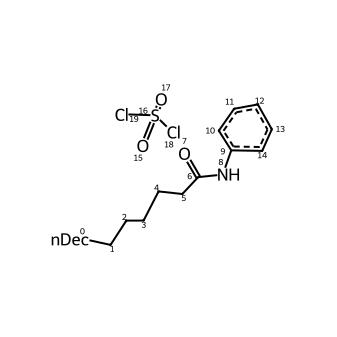 CCCCCCCCCCCCCCCC(=O)Nc1ccccc1.O=S(=O)(Cl)Cl